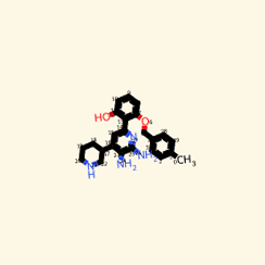 Cc1ccc(COc2cccc(O)c2-c2cc(C3CCCNC3)c(N)c(N)n2)cc1